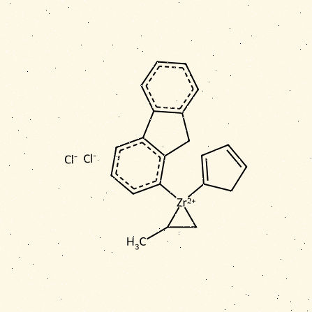 C[CH]1[CH2][Zr+2]1([C]1=CC=CC1)[c]1cccc2c1Cc1ccccc1-2.[Cl-].[Cl-]